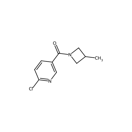 CC1CN(C(=O)c2ccc(Cl)nc2)C1